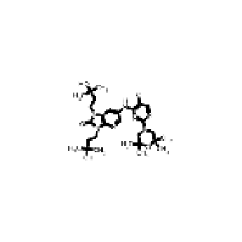 CC(C)(O)CCn1c(=O)n(CCC(C)(C)O)c2ncc(Nc3nc(N4CC(C)(C)OC(C)(C)C4)ncc3Cl)cc21